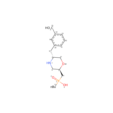 CCCCP(=O)(O)C[C@H]1CN[C@H](Cc2cccc(C(=O)O)c2)CO1